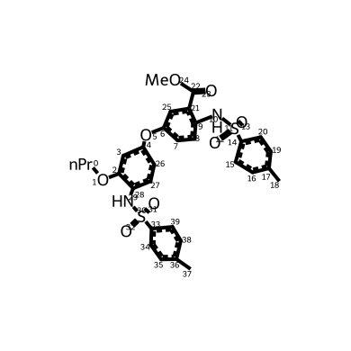 CCCOc1cc(Oc2ccc(NS(=O)(=O)c3ccc(C)cc3)c(C(=O)OC)c2)ccc1NS(=O)(=O)c1ccc(C)cc1